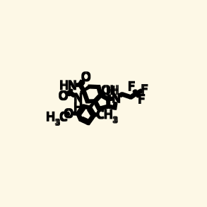 COc1ccc(C)c([C@]23CC4CN(CCC(F)(F)F)[C@H]4[C@]2(O)CC[C@@]2(C3)NC(=O)NC2=O)c1